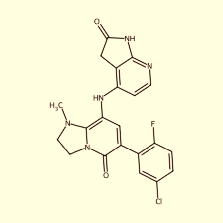 CN1CCn2c1c(Nc1ccnc3c1CC(=O)N3)cc(-c1cc(Cl)ccc1F)c2=O